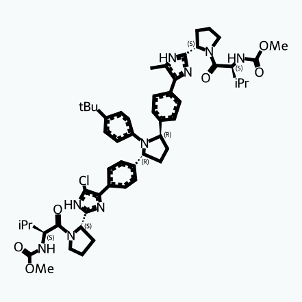 COC(=O)N[C@H](C(=O)N1CCC[C@H]1c1nc(-c2ccc([C@H]3CC[C@H](c4ccc(-c5nc([C@@H]6CCCN6C(=O)[C@@H](NC(=O)OC)C(C)C)[nH]c5Cl)cc4)N3c3ccc(C(C)(C)C)cc3)cc2)c(C)[nH]1)C(C)C